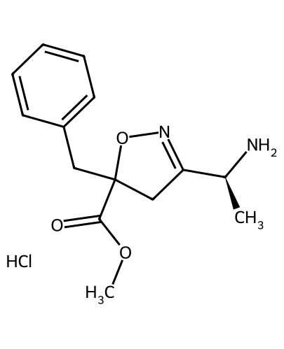 COC(=O)C1(Cc2ccccc2)CC([C@H](C)N)=NO1.Cl